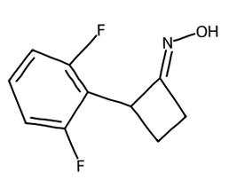 ON=C1CCC1c1c(F)cccc1F